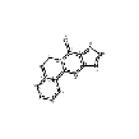 O=c1c2c(nc3n1CC=c1ccccc1=3)N=NN=2